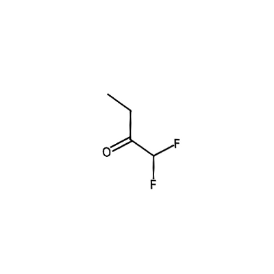 CCC(=O)C(F)F